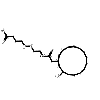 CC1CCCCCCCCCCCCC(CC(=O)NCCSSCCCC(=O)O)C1